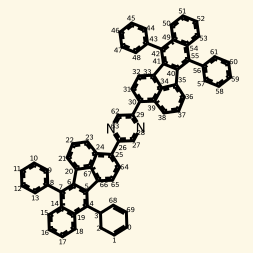 C1=CCC(c2c3c(c(-c4ccccc4)c4ccccc24)-c2cccc4c(-c5cnc(-c6ccc7c8c(cccc68)-c6c-7c(-c7ccccc7)c7ccccc7c6-c6ccccc6)cn5)ccc-3c24)C=C1